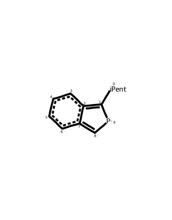 CCCC(C)C1=c2ccccc2=C[P]1